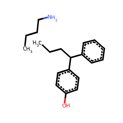 CCCC(c1ccccc1)c1ccc(O)cc1.CCCCN